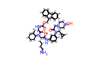 NCCCC[C@H](NC(=O)[C@H](CC1CCCCC1)NC(=O)OCC1c2ccccc2-c2ccccc21)C(=O)Nc1cccc(N(CC2CC2)C(=O)CN2CCN(O)CC2)c1